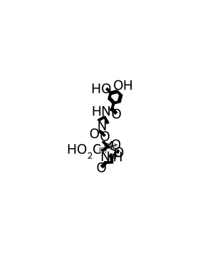 C[C@]1(COC(=O)N2CC(NC(=O)c3ccc(O)c(O)c3)C2)[C@H](C(=O)O)N2C(=O)C[C@H]2S1(=O)=O